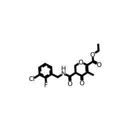 CCOC(=O)C1=C(C)C(=O)C(C(=O)NCc2cccc(Cl)c2F)CO1